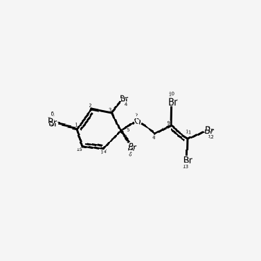 BrC1=CC(Br)C(Br)(OCC(Br)=C(Br)Br)C=C1